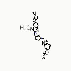 CCN1/C(=C/C2=CC(=C/c3nc4cc(OSC5CC5)ccc4s3)/CC2)Sc2ccc(SOC3CC3)cc21